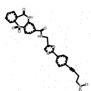 CCN(CC)CCC#Cc1ccc(-c2ncc(CNC(=O)c3ccc4c(c3)NC(=O)c3ccccc3S4(=O)=O)s2)cc1